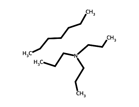 CCCCCCC.CCCN(CCC)CCC